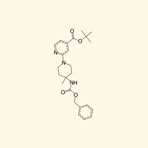 CC1(NC(=O)OCc2ccccc2)CCN(c2cc(C(=O)OC(C)(C)C)ccn2)CC1